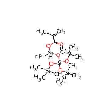 C=C(C)C(=O)O[SiH](CCC)O[Si](O[Si](C)(C)C)(O[Si](C)(C)C)O[Si](C)(C)C